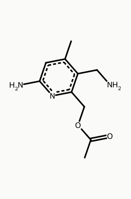 CC(=O)OCc1nc(N)cc(C)c1CN